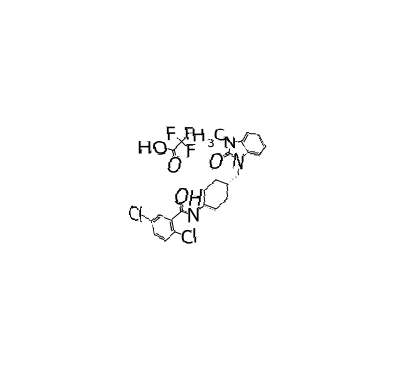 Cn1c(=O)n(C[C@H]2CC[C@H](NC(=O)c3cc(Cl)ccc3Cl)CC2)c2ccccc21.O=C(O)C(F)(F)F